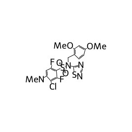 CNc1cc(F)c(S(=O)(=O)N(Cc2ccc(OC)cc2OC)c2ncns2)c(F)c1Cl